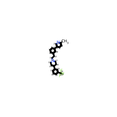 Cc1ccc(-c2cccc(CCN3CC=C(c4cccc(C(F)(F)F)c4)CC3)c2)cn1